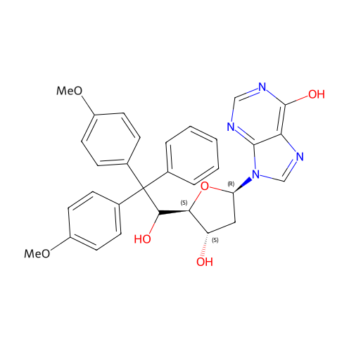 COc1ccc(C(c2ccccc2)(c2ccc(OC)cc2)C(O)[C@H]2O[C@@H](n3cnc4c(O)ncnc43)C[C@@H]2O)cc1